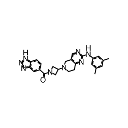 Cc1cc(C)cc(Nc2ncc3c(n2)CCN(C2CN(C(=O)c4ccc5[nH]nnc5c4)C2)C3)c1